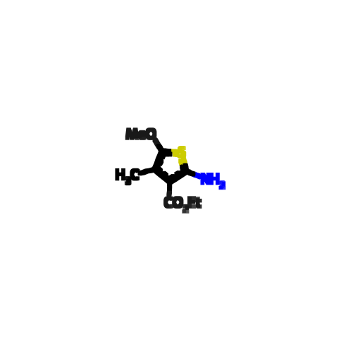 CCOC(=O)c1c(N)sc(OC)c1C